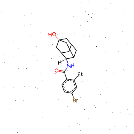 CCc1cc(Br)ccc1C(=O)N[C@H]1C2CC3CC1C[C@](O)(C3)C2